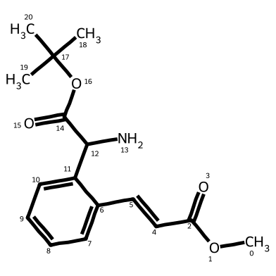 COC(=O)/C=C/c1ccccc1C(N)C(=O)OC(C)(C)C